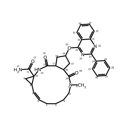 CN1CCCCC=CC2CC2(C(N)=O)NC(=O)C2CC(Oc3nc(-c4ccccc4)nc4ccccc34)CC2C1=O